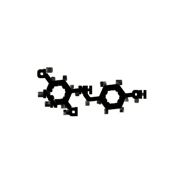 Oc1ccc(CNc2cc(Cl)nnc2Cl)cc1